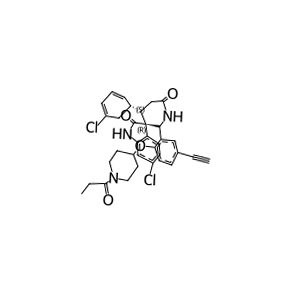 C#Cc1ccc(OC2CCN(C(=O)CC)CC2)c(C2NC(=O)C[C@@H](C3C=CC=C(Cl)C3)[C@]23C(=O)Nc2cc(Cl)ccc23)c1